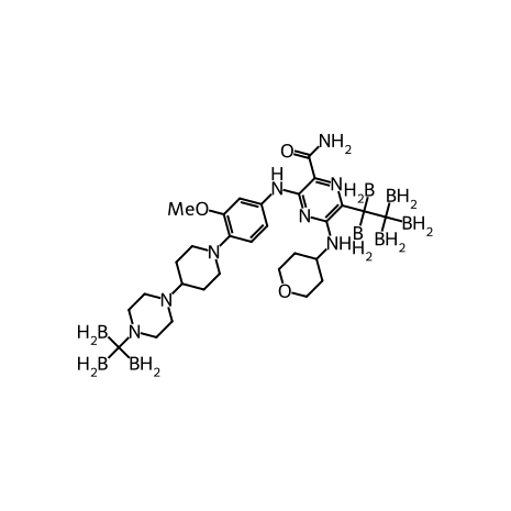 BC(B)(B)N1CCN(C2CCN(c3ccc(Nc4nc(NC5CCOCC5)c(C(B)(B)C(B)(B)B)nc4C(N)=O)cc3OC)CC2)CC1